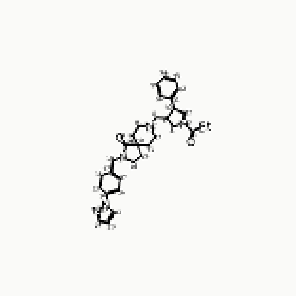 CCC(=O)N1CC(CN2CCC3(CC2)CCN(Cc2ccc(-n4cccn4)cc2)C3=O)C(c2ccccc2)C1